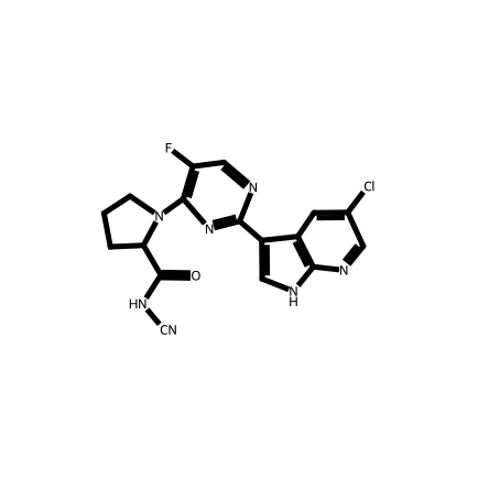 N#CNC(=O)C1CCCN1c1nc(-c2c[nH]c3ncc(Cl)cc23)ncc1F